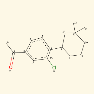 CC(=O)c1ccc(C2CCCC(C)(C)C2)c(Cl)c1